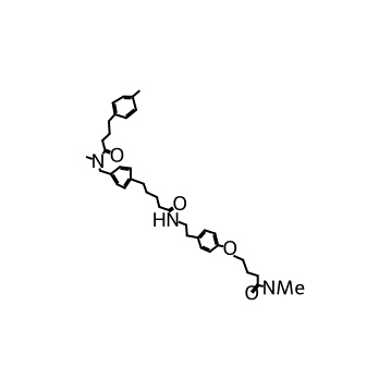 CNC(=O)CCCCOc1ccc(CCNC(=O)CCCCc2ccc(CN(C)C(=O)CCCc3ccc(C)cc3)cc2)cc1